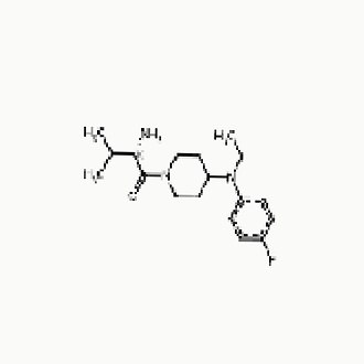 CCN(c1ccc(F)cc1)C1CCN(C(=O)[C@@H](N)C(C)C)CC1